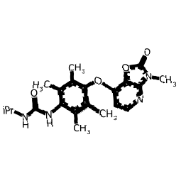 Cc1c(C)c(Oc2ccnc3c2oc(=O)n3C)c(C)c(C)c1NC(=O)NC(C)C